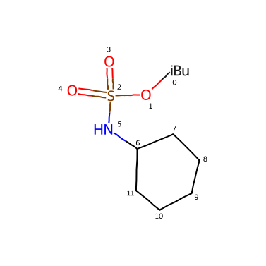 CCC(C)OS(=O)(=O)NC1CCCCC1